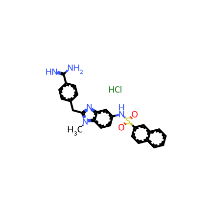 Cl.Cn1c(Cc2ccc(C(=N)N)cc2)nc2cc(NS(=O)(=O)c3ccc4ccccc4c3)ccc21